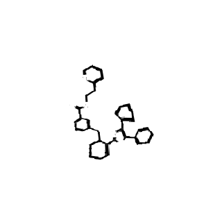 O=C(NCCc1ccccn1)c1cccc(CC2CCCC=C2c2nc(-c3ccccc3)c(-c3ccccc3)o2)c1